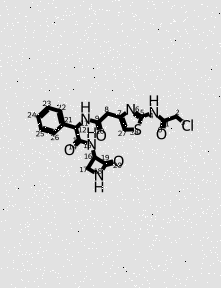 O=C(CCl)Nc1nc(CC(=O)NC(C(=O)NC2CNC2=O)c2ccccc2)cs1